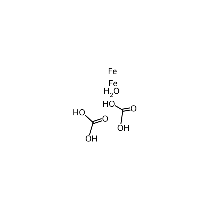 O.O=C(O)O.O=C(O)O.[Fe].[Fe]